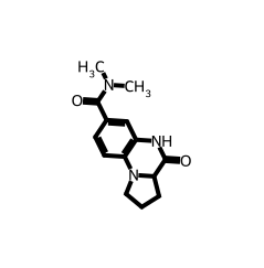 CN(C)C(=O)c1ccc2c(c1)NC(=O)C1CCCN21